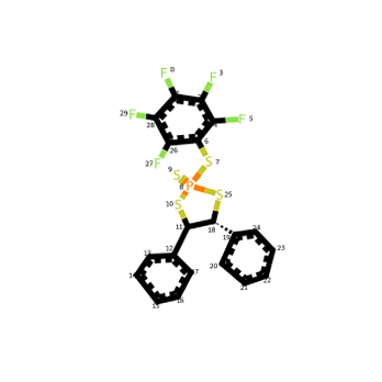 Fc1c(F)c(F)c(SP2(=S)SC(c3ccccc3)[C@@H](c3ccccc3)S2)c(F)c1F